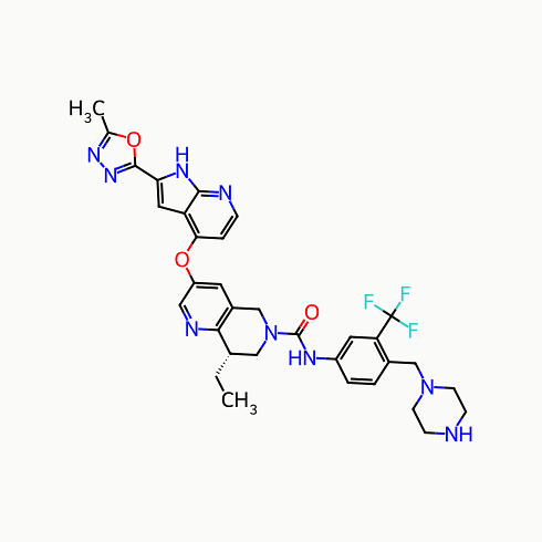 CC[C@H]1CN(C(=O)Nc2ccc(CN3CCNCC3)c(C(F)(F)F)c2)Cc2cc(Oc3ccnc4[nH]c(-c5nnc(C)o5)cc34)cnc21